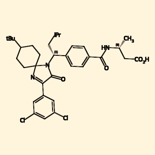 CC(C)C[C@H](c1ccc(C(=O)N[C@H](C)CC(=O)O)cc1)N1C(=O)C(c2cc(Cl)cc(Cl)c2)=NC12CCC(C(C)(C)C)CC2